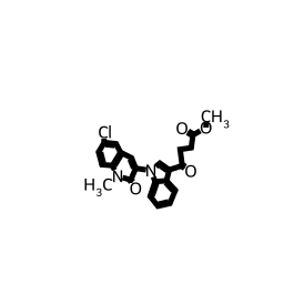 COC(=O)CCC(=O)c1cn(-c2cc3cc(Cl)ccc3n(C)c2=O)c2ccccc12